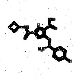 CNC(=O)c1[nH]c(C(=O)NC2CCC2)cc1O[C@@H](C)c1ccc(Cl)cc1